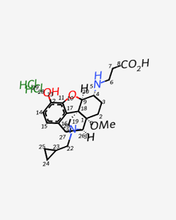 CO[C@@]12CC[C@@H](NCCC(=O)O)[C@@H]3Oc4c(O)ccc5c4[C@@]31CCN(CC1CC1)[C@@H]2C5.Cl.Cl